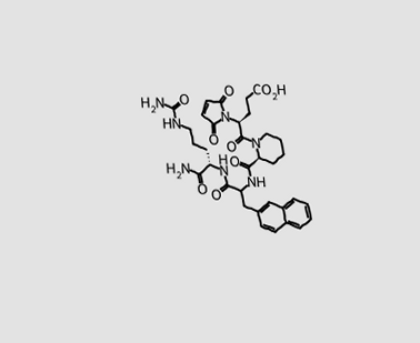 NC(=O)NCCC[C@H](NC(=O)C(Cc1ccc2ccccc2c1)NC(=O)[C@@H]1CCCCN1C(=O)[C@H](CCC(=O)O)N1C(=O)C=CC1=O)C(N)=O